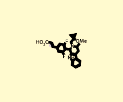 COC1(CN2C(C)Cc3c([nH]c4ccccc34)C2c2c(F)cc(/C=C/C(=O)O)cc2F)CC1